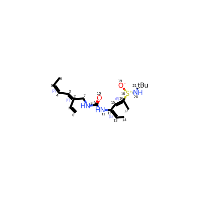 C=C/C(=C\C=C/C)CNC(=O)NC(=C/C)/C=C(\C)[S+]([O-])NC(C)(C)C